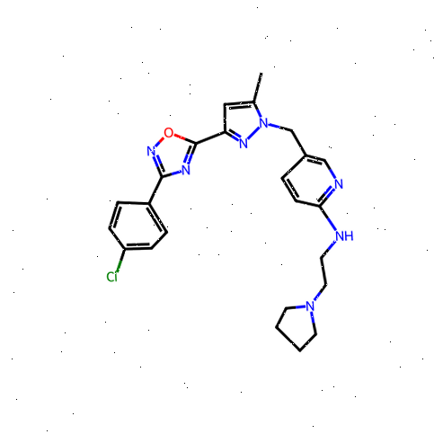 Cc1cc(-c2nc(-c3ccc(Cl)cc3)no2)nn1Cc1ccc(NCCN2CCCC2)nc1